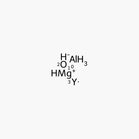 [AlH3].[MgH+].[OH-].[Y]